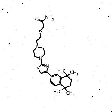 CC1(C)CCC(C)(C)c2cc(-c3csc(N4CCN(CCCCC(N)=O)CC4)n3)ccc21